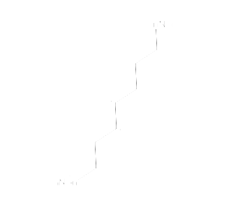 C[CH]CCCCCCCCCCCCCCCCCCCCCCC